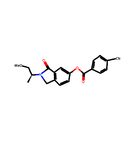 COC[C@H](C)N1Cc2ccc(OC(=O)c3ccc(C#N)cc3)cc2C1=O